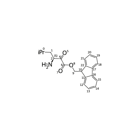 CC(C)C[C@H](N)C(=O)C(=O)OCC1c2ccccc2-c2ccccc21